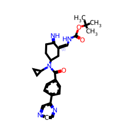 CC(C)(C)OC(=O)N/C=C1/CC(N(C(=O)c2ccc(-c3cnccn3)cc2)C2CC2)CCC1=N